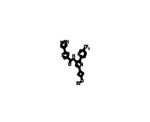 CCOC1CC(n2cc(NC(=O)c3csc(-c4cn[nH]c4)n3)c(-c3ccc(C(F)(F)F)cn3)n2)C1